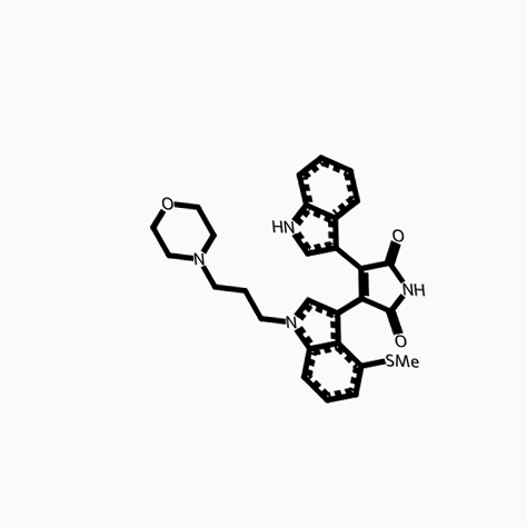 CSc1cccc2c1c(C1=C(c3c[nH]c4ccccc34)C(=O)NC1=O)cn2CCCN1CCOCC1